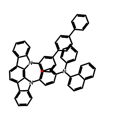 c1ccc(-c2ccc(-c3cccc(-n4c5ccccc5c5ccc6c7ccccc7n(-c7ccc(N(c8ccccc8)c8cccc9ccccc89)cc7)c6c54)c3)cc2)cc1